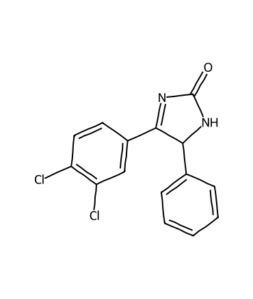 O=C1N=C(c2ccc(Cl)c(Cl)c2)C(c2ccccc2)N1